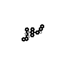 c1ccc2cc3c(cc2c1)oc1ccc(-c2c4ccccc4c(-n4c5ccccc5c5sc6c(sc7ccc8ccccc8c76)c54)c4ccccc24)cc13